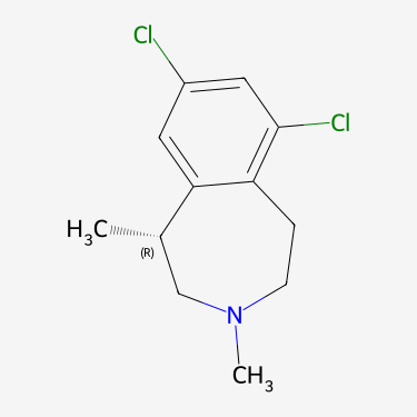 C[C@H]1CN(C)CCc2c(Cl)cc(Cl)cc21